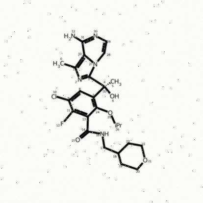 Cc1nc([C@@](C)(O)c2cc(Cl)c(F)c(C(=O)NCC3CCOCC3)c2OC(C)C)n2ccnc(N)c12